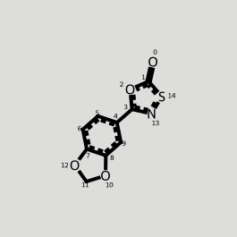 O=c1oc(-c2ccc3c(c2)OCO3)ns1